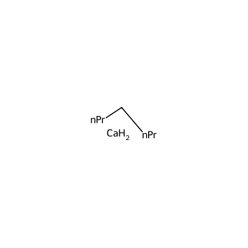 CCCCCCC.[CaH2]